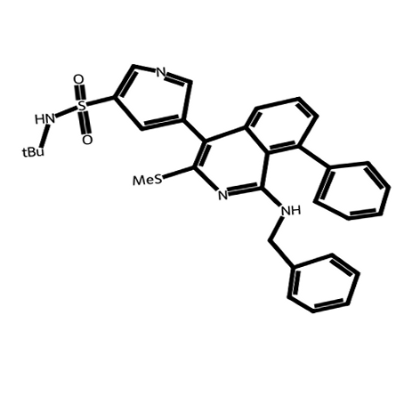 CSc1nc(NCc2ccccc2)c2c(-c3ccccc3)cccc2c1-c1cncc(S(=O)(=O)NC(C)(C)C)c1